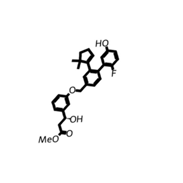 COC(=O)C[C@@H](O)c1cccc(OCc2ccc(-c3cc(O)ccc3F)c(C3=CCCC3(C)C)c2)c1